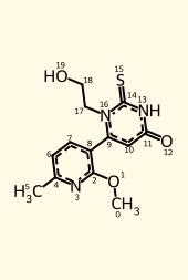 COc1nc(C)ccc1-c1cc(=O)[nH]c(=S)n1CCO